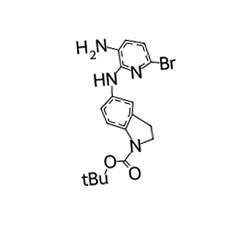 CC(C)(C)OC(=O)N1CCc2cc(Nc3nc(Br)ccc3N)ccc21